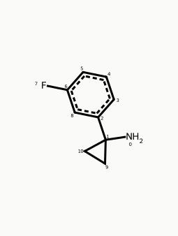 NC1(c2cccc(F)c2)CC1